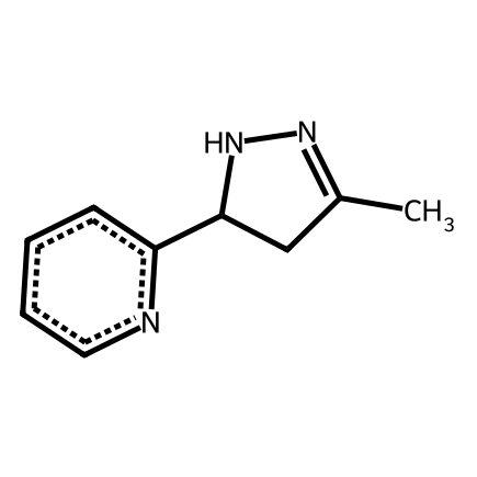 CC1=NNC(c2ccccn2)C1